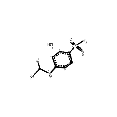 Cl.[2H]C([2H])Nc1ccc(S(=O)(=O)CC)cc1